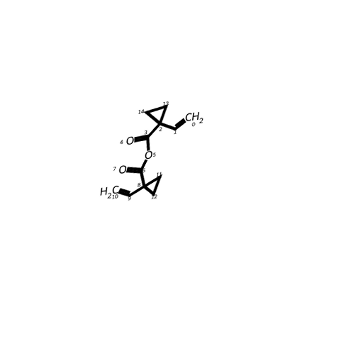 C=CC1(C(=O)OC(=O)C2(C=C)CC2)CC1